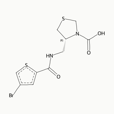 O=C(NC[C@@H]1CSCN1C(=O)O)c1cc(Br)cs1